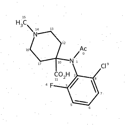 CC(=O)N(c1c(F)cccc1Cl)C1(C(=O)O)CCN(C)CC1